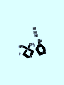 CCC(C)n1ccnc1.CCC[N+]1(C)C=CN=C1.I.I.I.[I-]